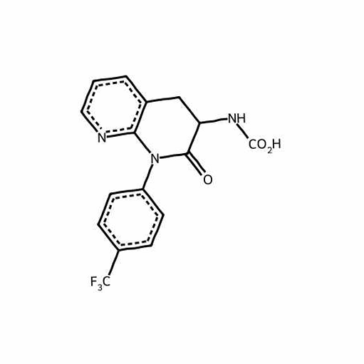 O=C(O)NC1Cc2cccnc2N(c2ccc(C(F)(F)F)cc2)C1=O